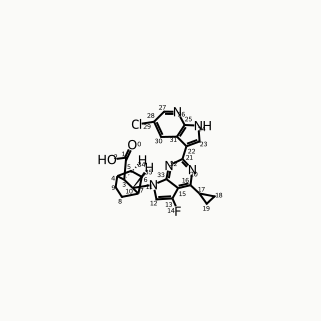 O=C(O)[C@@H]1C2CCC(CC2)[C@H]1n1cc(F)c2c(C3CC3)nc(-c3c[nH]c4ncc(Cl)cc34)nc21